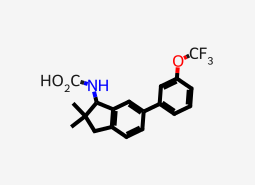 CC1(C)Cc2ccc(-c3cccc(OC(F)(F)F)c3)cc2C1NC(=O)O